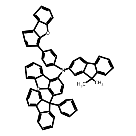 CC1(C)c2ccccc2-c2ccc(N(c3ccc(-c4cccc5c4oc4ccccc45)cc3)c3ccc(C4(c5ccccc5)c5ccccc5-c5ccccc54)c4oc5ccccc5c34)cc21